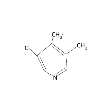 [CH2]c1c(C)cncc1Cl